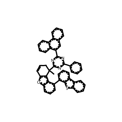 CC1(c2nc(-c3ccccc3)nc(-c3cc4ccccc4c4ccccc34)n2)CC=Cc2oc3cccc(-c4cccc5c4sc4ccccc45)c3c21